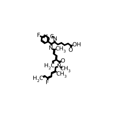 C=C/C(F)=C\C=C(/C)CN(C)C(=O)/C(C=C)=C/C=C(C)/N=C(\C(CCCCC(=O)O)=N/C)c1ccc(F)cc1